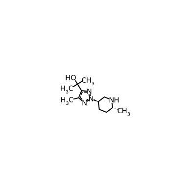 Cc1nn([C@@H]2CC[C@@H](C)NC2)nc1C(C)(C)O